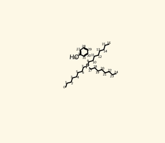 CCCCCCCCP(CCCCCCCC)CCCCCCCC.Oc1ccccc1